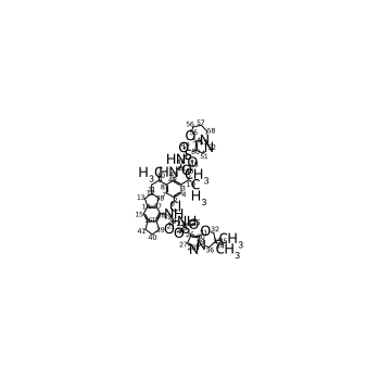 CC(C)c1cc(Cl)cc(C(C)CC2Cc3cc4c(c(NC(=O)NS(=O)(=O)c5cnn6c5OCC(C)(C)C6)c3C2)CCC4)c1NC(=O)NS(=O)(=O)c1cnn2c1OCCC2